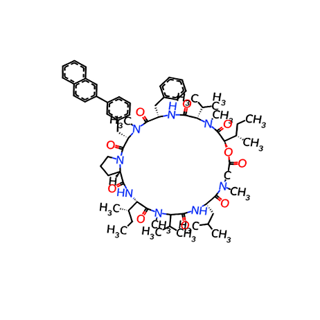 CC[C@H](C)[C@@H]1NC(=O)[C@@H]2CCCN2C(=O)[C@H](Cc2cccc(-c3ccc4ccccc4c3)c2)N(C)C(=O)[C@H](Cc2ccccc2)NC(=O)[C@H](C(C)C)N(C)C(=O)[C@@H]([C@@H](C)CC)OC(=O)CN(C)C(=O)[C@H](CC(C)C)NC(=O)C(C(C)C)N(C)C1=O